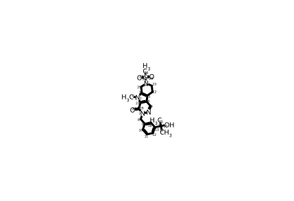 Cn1c2c(c3cnn(Cc4cccc(C(C)(C)O)c4)c(=O)c31)CCN(S(C)(=O)=O)C2